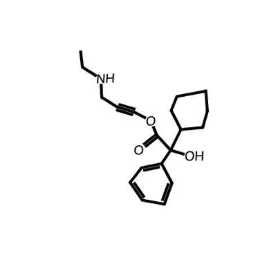 CCNCC#COC(=O)C(O)(c1ccccc1)C1CCCCC1